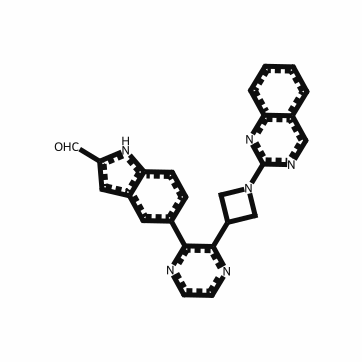 O=Cc1cc2cc(-c3nccnc3C3CN(c4ncc5ccccc5n4)C3)ccc2[nH]1